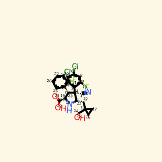 N#C[C@]1(c2ccc(Cl)cc2F)[C@H](CC2(CO)CC2)N[C@@H](C(=O)O)[C@@H]1c1cccc(Cl)c1F